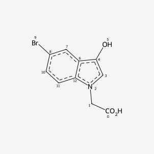 O=C(O)Cn1cc(O)c2cc(Br)ccc21